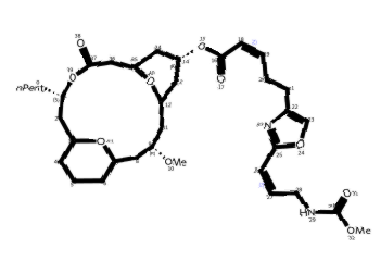 CCCCC[C@H]1CC2CCCC(C[C@@H](OC)CC3C[C@@H](OC(=O)/C=C\CCc4coc(/C=C\CNC(=O)OC)n4)CC(CC(=O)O1)O3)O2